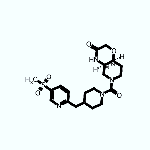 CS(=O)(=O)c1ccc(CC2CCN(C(=O)N3CC[C@@H]4OCC(=O)N[C@@H]4C3)CC2)nc1